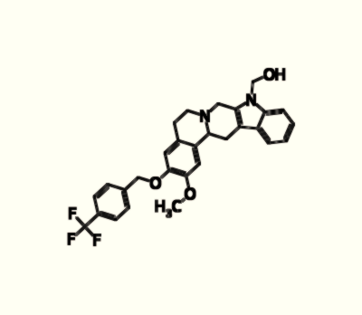 COc1cc2c(cc1OCc1ccc(C(F)(F)F)cc1)CCN1Cc3c(c4ccccc4n3CO)CC21